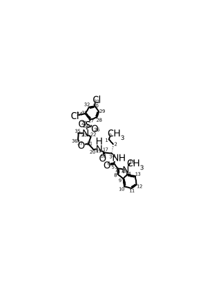 CCC[C@H](NC(=O)c1cc2ccccc2n1C)C(=O)NCC1CN(S(=O)(=O)c2ccc(Cl)cc2Cl)CCO1